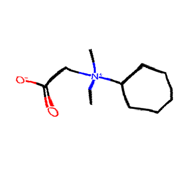 C[N+](C)(CC(=O)[O-])C1CCCCC1